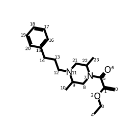 C=C(OCC)C(=O)N1CC(C)N(CCCc2ccccc2)CC1C